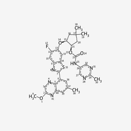 COc1cnc2c(-c3nc4cc(F)c(O[C@H]5CC(C)(C)C[C@H]5OC(=O)Nc5cnc(C)nc5)cc4s3)cc(C)cc2n1